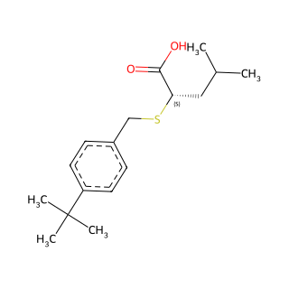 CC(C)C[C@H](SCc1ccc(C(C)(C)C)cc1)C(=O)O